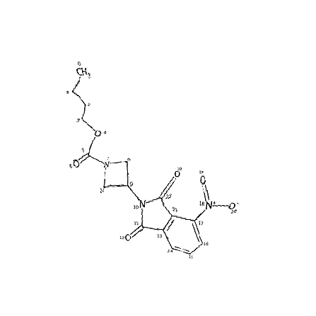 CCCCOC(=O)N1CC(N2C(=O)c3cccc([N+](=O)[O-])c3C2=O)C1